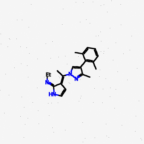 CC/N=C1/NC=C/C1=C(/C)n1cc(-c2c(C)cccc2C)c(C)n1